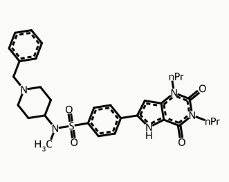 CCCn1c(=O)c2[nH]c(-c3ccc(S(=O)(=O)N(C)C4CCN(Cc5ccccc5)CC4)cc3)cc2n(CCC)c1=O